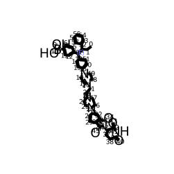 CC/C(=C(/c1ccc(B(O)O)cc1)c1ccc(N2CCN(CCN3CCN(c4ccc5c(c4)C(=O)N(C4CCC(=O)NC4=O)C5=O)CC3)CC2)cc1)c1ccccc1